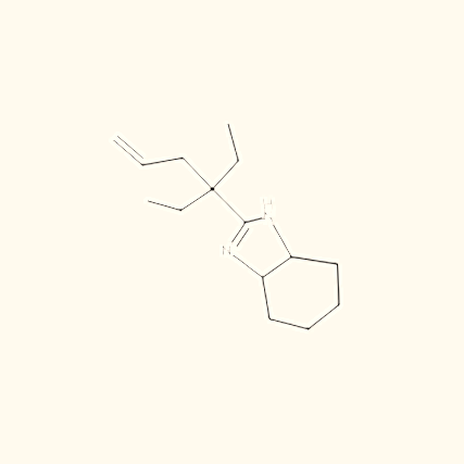 C=CCC(CC)(CC)C1=NC2CCCCC2N1